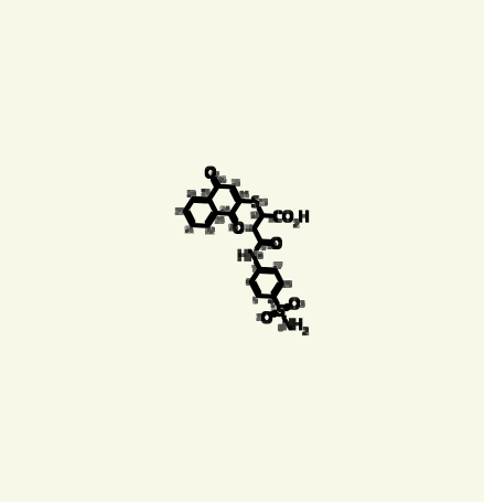 NS(=O)(=O)c1ccc(NC(=O)CC(SC2=CC(=O)c3ccccc3C2=O)C(=O)O)cc1